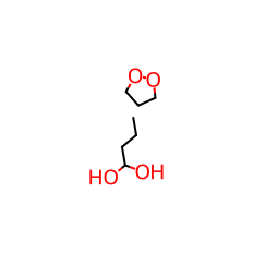 C1COOC1.CCCC(O)O